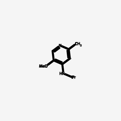 COc1cnc(C)[c]c1NC(C)C